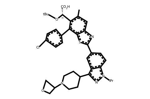 Cc1cc2nc(-c3ccc4c(c3)c(C3CCN(C5COC5)CC3)nn4C(C)C)sc2c(-c2ccc(Cl)cc2)c1[C@H](OC(C)(C)C)C(=O)O